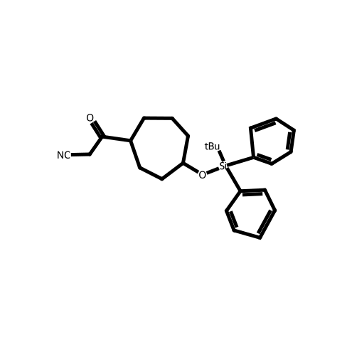 CC(C)(C)[Si](OC1CCCC(C(=O)CC#N)CC1)(c1ccccc1)c1ccccc1